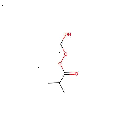 C=C(C)C(=O)OOCO